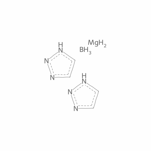 B.[MgH2].c1c[nH]nn1.c1c[nH]nn1